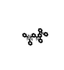 c1ccc(-c2nc(-c3ccccc3)nc(-c3cccc(-c4nc5ccccc5c5cc6c(cc45)c4ccccc4n6-c4ccccc4)c3)n2)cc1